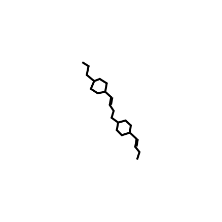 CCC=CC1CCC(CCC=CC2CCC(CCC)CC2)CC1